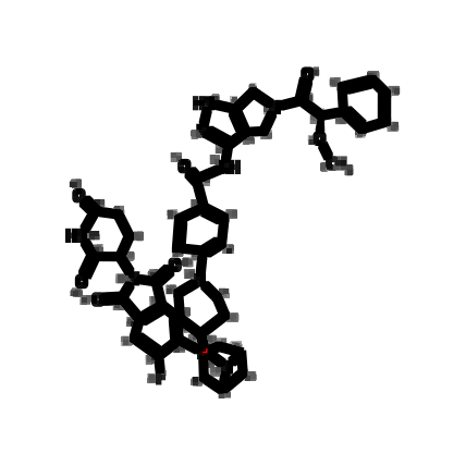 CO[C@@H](C(=O)N1Cc2[nH]nc(NC(=O)c3ccc(N4CCC(CN5C6CC5CN(c5cc7c(cc5F)C(=O)N(C5CCC(=O)NC5=O)C7=O)C6)CC4)cc3)c2C1)c1ccccc1